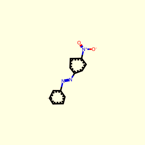 O=[N+]([O-])c1ccc(N=Nc2c[c]ccc2)cc1